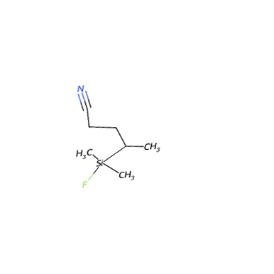 CC(CCC#N)[Si](C)(C)F